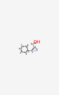 C/C(=C/c1ccccc1)CO